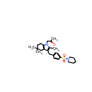 CC(=O)Cn1c(C)c(Cc2ccc(S(=O)(=O)N3CCCCC3)cc2)c2c1CCC(C)(C)C2